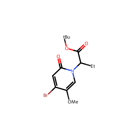 CCC(C(=O)OC(C)(C)C)n1cc(OC)c(Br)cc1=O